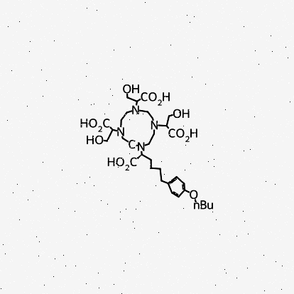 CCCCOc1ccc(CCCC[C@@H](C(=O)O)N2CCN(C(CO)C(=O)O)CCN(C(CO)C(=O)O)CCN(C(CO)C(=O)O)CC2)cc1